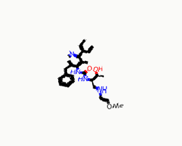 C=CC(=C\C)/C(=N/C)C(/C)=C(/NC(=O)N[C@H](CNCCOC)[C@H](C)O)C(=C)Cc1ccccc1